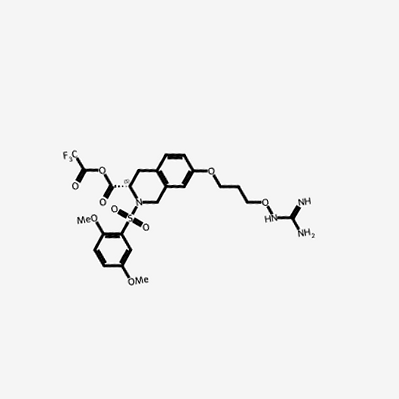 COc1ccc(OC)c(S(=O)(=O)N2Cc3cc(OCCCONC(=N)N)ccc3C[C@H]2C(=O)OC(=O)C(F)(F)F)c1